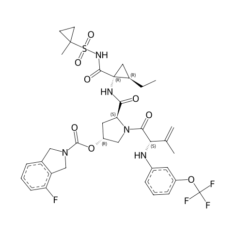 C=C(C)[C@H](Nc1cccc(OC(F)(F)F)c1)C(=O)N1C[C@H](OC(=O)N2Cc3cccc(F)c3C2)C[C@H]1C(=O)N[C@]1(C(=O)NS(=O)(=O)C2(C)CC2)C[C@H]1CC